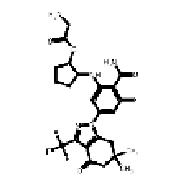 CC1(C)CC(=O)c2c(C(F)(F)F)nn(-c3cc(F)c(C(N)=O)c(NC4CCCC4OC(=O)CN)c3)c2C1